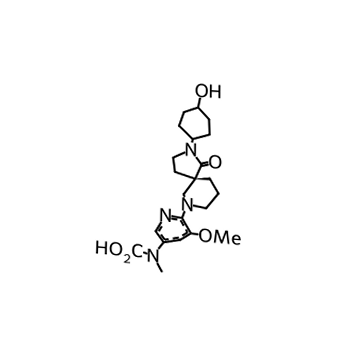 COc1cc(N(C)C(=O)O)cnc1N1CCC[C@]2(CCN(C3CCC(O)CC3)C2=O)C1